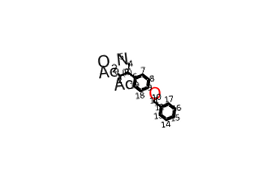 CC(=O)C(C(C)=O)[C@@H](C[N+](=O)[O-])c1ccc(OCc2ccccc2)cc1